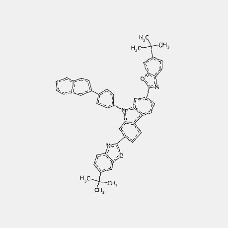 CC(C)(C)c1ccc2nc(-c3ccc4c5ccc(-c6nc7ccc(C(C)(C)C)cc7o6)cc5n(-c5ccc(-c6ccc7ccccc7c6)cc5)c4c3)oc2c1